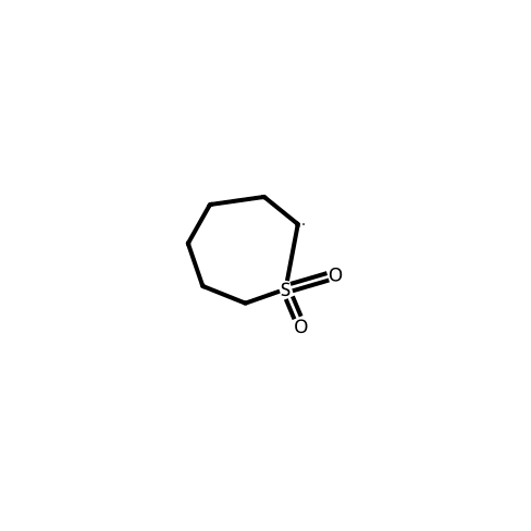 O=S1(=O)[CH]CCCCC1